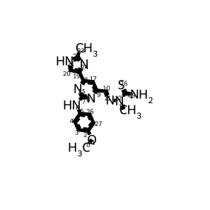 COc1ccc(Nc2nc(C=NN(C)C(N)=S)cc(-c3c[nH]c(C)n3)n2)cc1